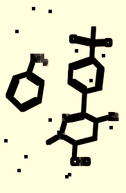 CCC1CC(C=O)N(C)N=C1c1ccc(S(C)(=O)=O)cc1.Nc1ccccc1